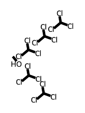 CO.ClC(Cl)Cl.ClC(Cl)Cl.ClC(Cl)Cl.ClC(Cl)Cl.ClC(Cl)Cl